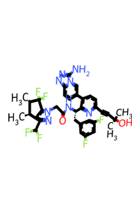 C[C@@H]1c2c(C(F)F)nn(CC(=O)N[C@@H](Cc3cc(F)cc(F)c3)c3nc(C#CC(C)(C)O)ccc3-c3ccc4nnc(N)n4c3)c2C(F)(F)[C@@H]1C